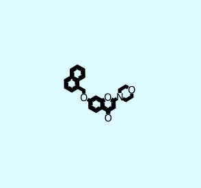 O=c1cc(N2CCOCC2)oc2cc(OCc3cccc4ccccc34)ccc12